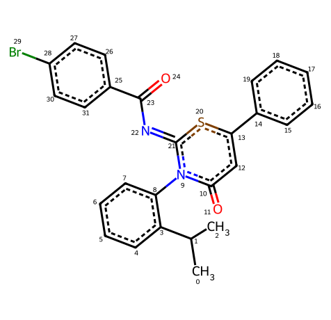 CC(C)c1ccccc1-n1c(=O)cc(-c2ccccc2)sc1=NC(=O)c1ccc(Br)cc1